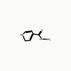 NNC(=O)C1=CCNC=C1